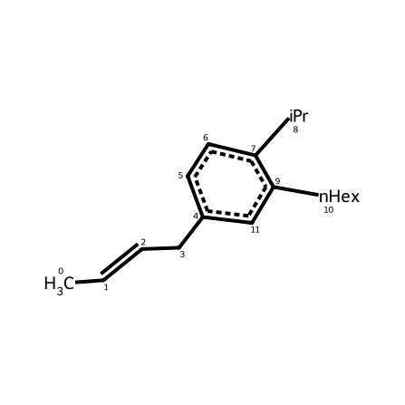 CC=CCc1ccc(C(C)C)c(CCCCCC)c1